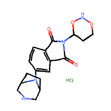 Cl.O=C1c2ccc(N3C4CCC3CNC4)cc2C(=O)N1C1CCONO1